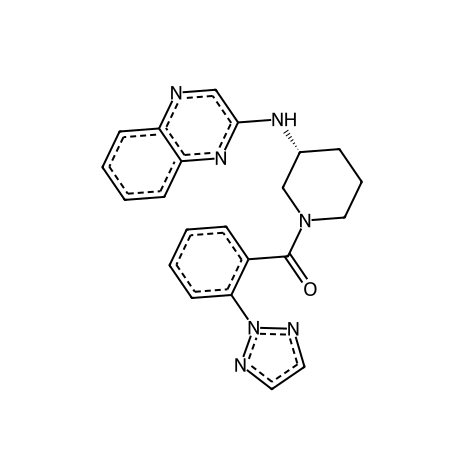 O=C(c1ccccc1-n1nccn1)N1CCC[C@@H](Nc2cnc3ccccc3n2)C1